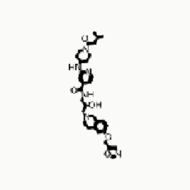 CC(C)CC(=O)N1CCC(Nc2cc(C(=O)NC[C@H](O)CN3CCc4cc(OCc5cnco5)ccc4C3)ccn2)CC1